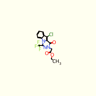 CCOC(=O)Cn1nc(C(F)(F)F)n2c(c(Cl)c3ccccc32)c1=O